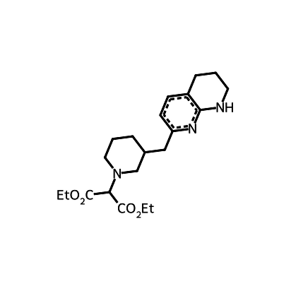 CCOC(=O)C(C(=O)OCC)N1CCCC(Cc2ccc3c(n2)NCCC3)C1